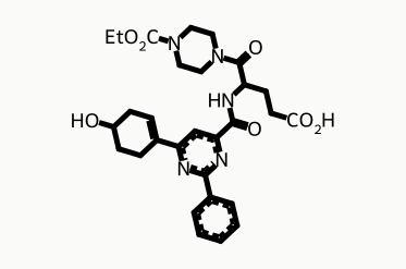 CCOC(=O)N1CCN(C(=O)C(CCC(=O)O)NC(=O)c2cc(C3=CCC(O)CC3)nc(-c3ccccc3)n2)CC1